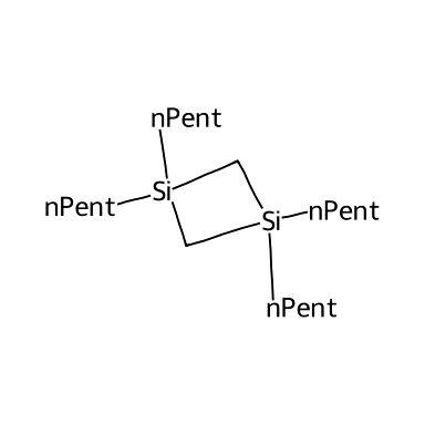 CCCCC[Si]1(CCCCC)C[Si](CCCCC)(CCCCC)C1